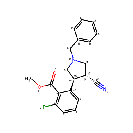 COC(=O)c1c(F)cccc1[C@H]1CN(Cc2ccccc2)C[C@@H]1C#N